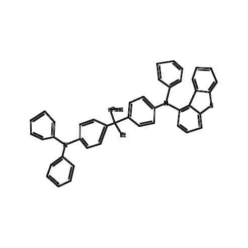 CCCCCC(CC)(c1ccc(N(c2ccccc2)c2ccccc2)cc1)c1ccc(N(c2ccccc2)c2cccc3sc4ccccc4c23)cc1